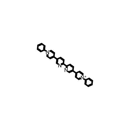 c1ccc(-[n+]2ccc(-c3ccc(-c4ccc(-c5cc[n+](-c6ccccc6)cc5)cn4)nc3)cc2)cc1